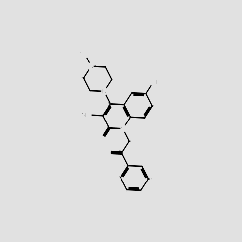 CC(=O)N1CCN(c2c(C#N)c(=O)n(CC(=O)c3ccccc3)c3ccc(C)cc23)CC1